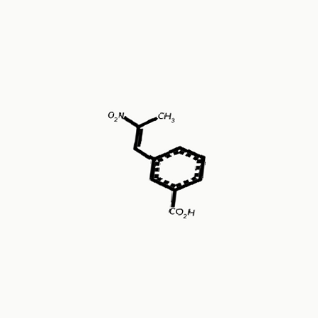 CC(=Cc1cccc(C(=O)O)c1)[N+](=O)[O-]